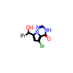 CC(C)C(O)c1cc(Br)c2c(=O)[nH]cnn12